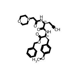 C#CC[C@H](NC(=O)CN1CCOCC1)C(=O)N[C@@H](Cc1ccc(OC)cc1)C(=O)OCc1ccccc1